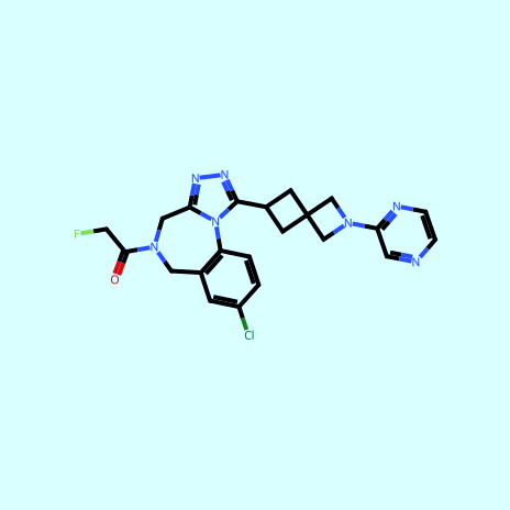 O=C(CF)N1Cc2cc(Cl)ccc2-n2c(nnc2C2CC3(C2)CN(c2cnccn2)C3)C1